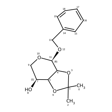 CC1(C)OC2C(O1)[C@@H](O)CO[C@H]2OCc1ccccc1